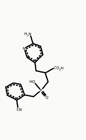 N#Cc1ccccc1CP(=O)(O)CC(Cc1ccc(N)nc1)C(=O)O